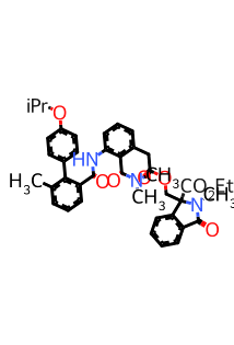 CCOC(=O)C1(COC(=O)Cc2cccc(NC(=O)c3cccc(C)c3-c3ccc(OC(C)C)cc3)c2C(=O)N(C)C)c2ccccc2C(=O)N1C